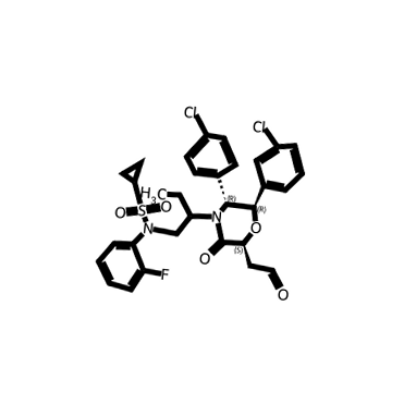 CCC(CN(c1ccccc1F)S(=O)(=O)C1CC1)N1C(=O)[C@H](CC=O)O[C@H](c2cccc(Cl)c2)[C@H]1c1ccc(Cl)cc1